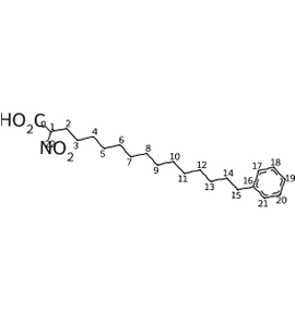 O=C(O)C(CCCCCCCCCCCCCCc1ccccc1)[N+](=O)[O-]